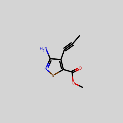 CC#Cc1c(N)nsc1C(=O)OC